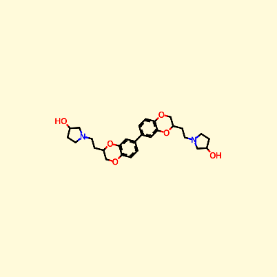 OC1CCN(CCC2COc3ccc(-c4ccc5c(c4)OC(CCN4CCC(O)C4)CO5)cc3O2)C1